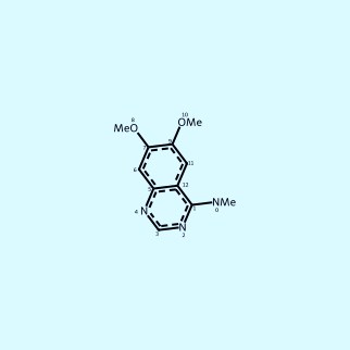 CNc1ncnc2cc(OC)c(OC)cc12